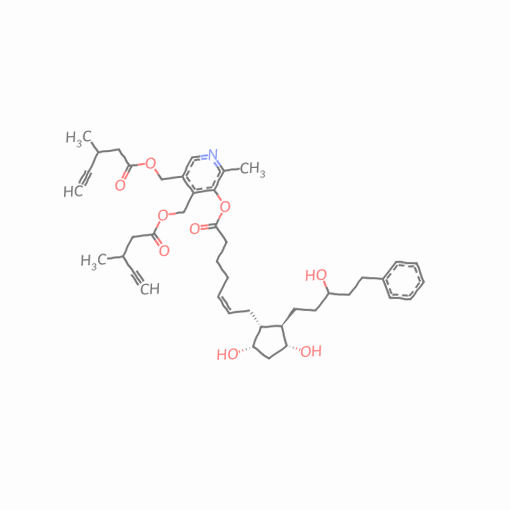 C#CC(C)CC(=O)OCc1cnc(C)c(OC(=O)CCC/C=C\C[C@@H]2[C@@H](CCC(O)CCc3ccccc3)[C@H](O)C[C@@H]2O)c1COC(=O)CC(C)C#C